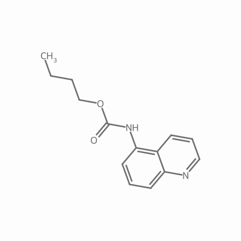 CCCCOC(=O)Nc1cccc2ncccc12